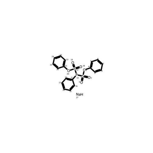 O=S(=O)(Oc1ccccc1)P(c1ccccc1)S(=O)(=O)Oc1ccccc1.[NaH]